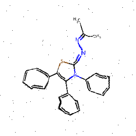 CC(C)=N/N=c1\sc(-c2ccccc2)c(-c2ccccc2)n1-c1ccccc1